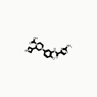 Nc1nc(C(=O)Nc2cc(N3CCN(C(=O)O)C(C4CNC4)C3)ccc2Cl)co1